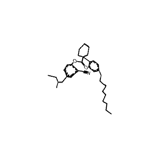 CCCCCCCCCc1ccc(C2(C(=O)Oc3ccc(CC(C)CC)cc3C#N)CCCCC2)cc1